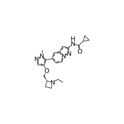 CCN1CC[C@H]1COc1cnn(C)c1-c1ccn2nc(NC(=O)C3CC3)cc2c1